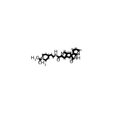 CC(C)N1CCC(CCNC(=O)c2cc3c(cn2)CC2(C3)C(=O)Nc3ncccc32)CC1